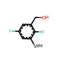 CSc1cc(F)cc(CO)c1F